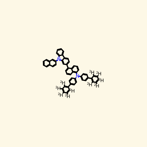 [2H]c1c([2H])c([2H])c(-c2ccc(N(c3ccc(-c4c([2H])c([2H])c([2H])c([2H])c4[2H])cc3)c3cccc4c(-c5ccc6c7ccccc7n(-c7ccc8ccccc8c7)c6c5)cccc34)cc2)c([2H])c1[2H]